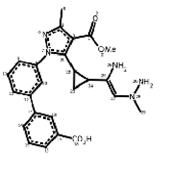 COC(=O)c1c(C)nn(-c2cccc(-c3cccc(C(=O)O)c3)c2)c1C1CC1/C(N)=C/N(C)N